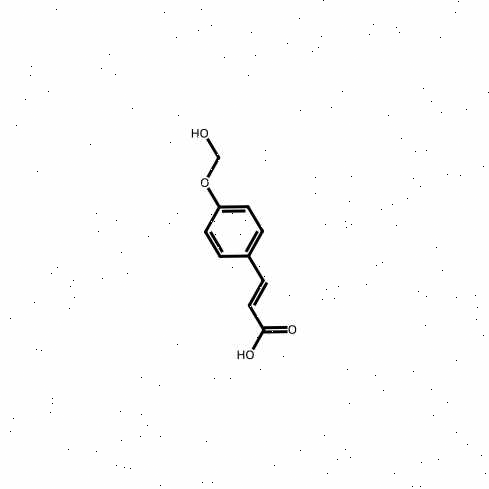 O=C(O)C=Cc1ccc(OCO)cc1